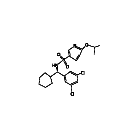 CC(C)Oc1ccc(S(=O)(=O)N[C@@H](c2cc(Cl)cc(Cl)c2)C2CCCCC2)cn1